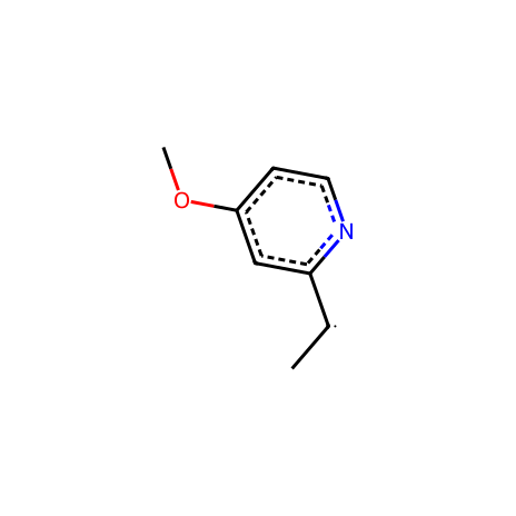 C[CH]c1cc(OC)ccn1